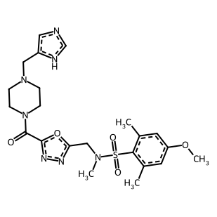 COc1cc(C)c(S(=O)(=O)N(C)Cc2nnc(C(=O)N3CCN(Cc4cnc[nH]4)CC3)o2)c(C)c1